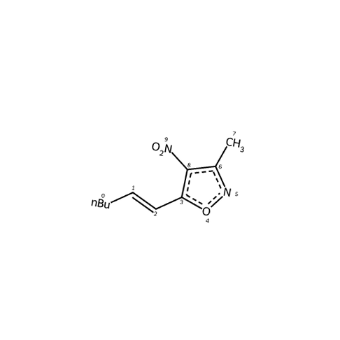 CCCCC=Cc1onc(C)c1[N+](=O)[O-]